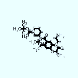 CCc1cc2c(cc1C(=O)N(C(C)C)[C@@H]1CCCN(C(=O)OC(C)(C)C)C1)N(CCN)C(=O)[C@@H](C)O2